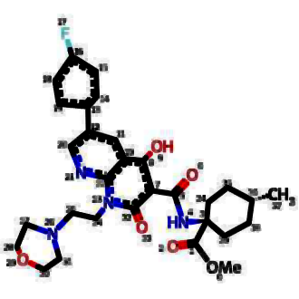 COC(=O)[C@]1(NC(=O)c2c(O)c3cc(-c4ccc(F)cc4)cnc3n(CCN3CCOCC3)c2=O)CC[C@H](C)CC1